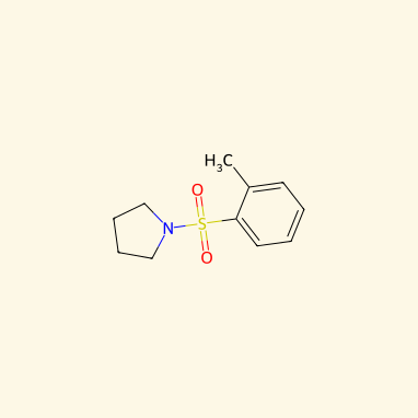 Cc1ccccc1S(=O)(=O)N1CCCC1